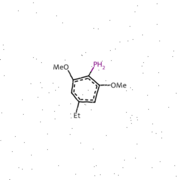 CCc1cc(OC)c(P)c(OC)c1